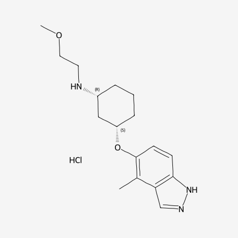 COCCN[C@@H]1CCC[C@H](Oc2ccc3[nH]ncc3c2C)C1.Cl